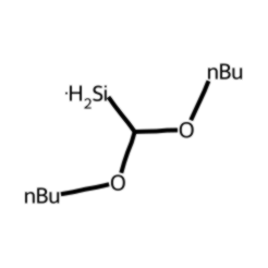 CCCCOC([SiH2])OCCCC